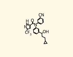 N#Cc1cccc(N(C(=O)c2cc(C(F)(F)F)n[nH]2)c2cccc(C(O)CCC3CC3)c2)c1